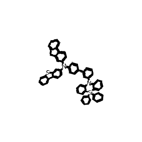 c1ccc([Si]2(c3ccccc3)c3ccccc3N(c3cccc(-c4ccc(N(c5ccc6c(c5)Cc5ccccc5-6)c5ccc6c(c5)sc5ccccc56)cc4)c3)c3ccccc32)cc1